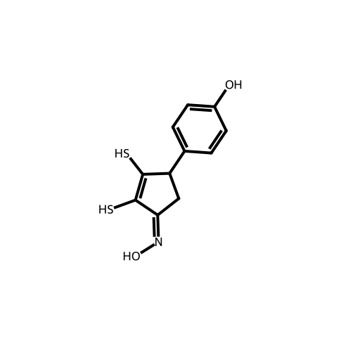 ON=C1CC(c2ccc(O)cc2)C(S)=C1S